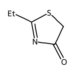 CCC1=NC(=O)CS1